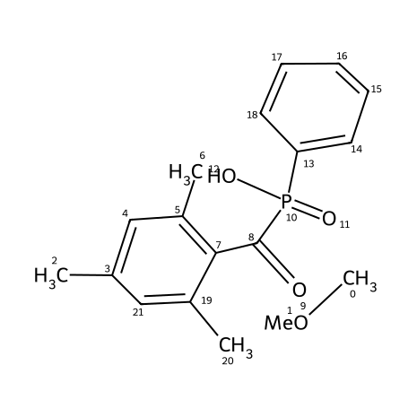 COC.Cc1cc(C)c(C(=O)P(=O)(O)c2ccccc2)c(C)c1